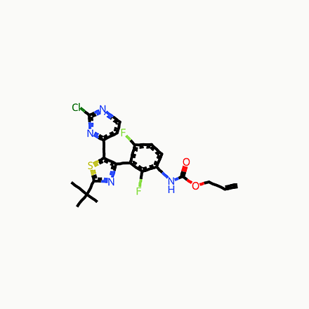 C=CCOC(=O)Nc1ccc(F)c(-c2nc(C(C)(C)C)sc2-c2ccnc(Cl)n2)c1F